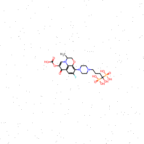 CC1COc2c(N3CCN(CCCC(O)(P(=O)(O)O)P(=O)(O)O)CC3)c(F)cc3c(=O)c(OC(=O)O)cn1c23